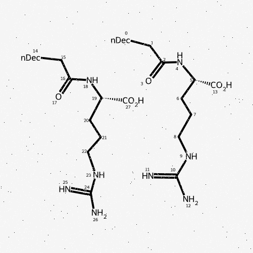 CCCCCCCCCCCC(=O)N[C@@H](CCCNC(=N)N)C(=O)O.CCCCCCCCCCCC(=O)N[C@@H](CCCNC(=N)N)C(=O)O